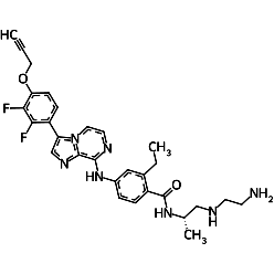 C#CCOc1ccc(-c2cnc3c(Nc4ccc(C(=O)N[C@@H](C)CNCCN)c(CC)c4)nccn23)c(F)c1F